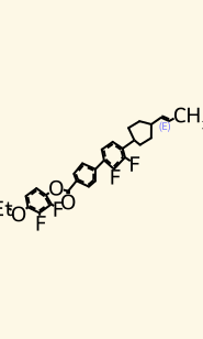 C/C=C/C1CCC(c2ccc(-c3ccc(C(=O)Oc4ccc(OCC)c(F)c4F)cc3)c(F)c2F)CC1